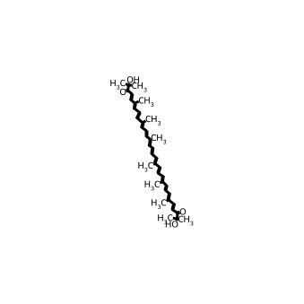 CC(/C=C/C=C(C)/C=C/C=C(C)/C=C/C(=O)C(C)(C)O)=C\C=C\C=C(C)\C=C\C=C(C)\C=C\C=C(C)\C=C\C(=O)C(C)(C)O